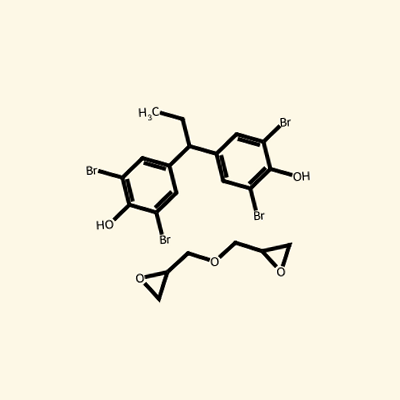 C(OCC1CO1)C1CO1.CCC(c1cc(Br)c(O)c(Br)c1)c1cc(Br)c(O)c(Br)c1